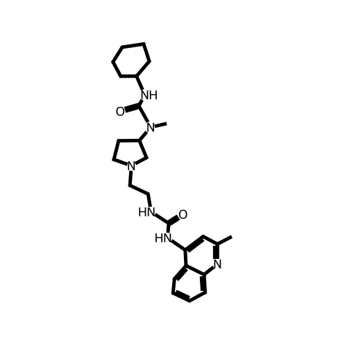 Cc1cc(NC(=O)NCCN2CCC(N(C)C(=O)NC3CCCCC3)C2)c2ccccc2n1